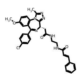 COc1ccc2c(c1)C(c1ccc(Cl)cc1)=N[C@@H](CC(=O)NCCNC(=O)/C=C/c1ccccc1)c1nnc(C)n1-2